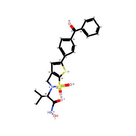 CC(C)[C@H](C(=O)NO)N1Cc2cc(-c3ccc(C(=O)c4ccccc4)cc3)sc2S1(=O)=O